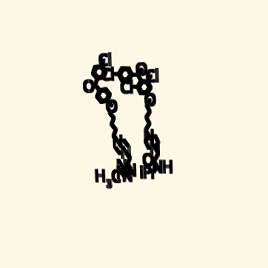 CC(C)NC(=O)CN1CCN(CCCCCOc2cc(Cl)c(C(=O)c3ccc(Cl)cc3)c(Cl)c2)CC1.Cn1nnc(CN2CCN(CCCCCOc3ccc(C(=O)c4ccc(Cl)cc4)cc3)CC2)n1